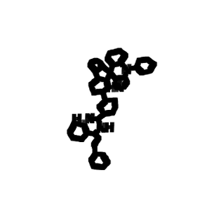 NC(NC(/C=C/c1ccccc1)c1ccccc1)c1cccc(-c2ccc3c(c2)C2(C4=C(C=CNC4)N(c4ccccc4)c4ccccc42)c2ccccc2-3)c1